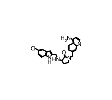 Nc1ccnc2cc(CN3CCC(NCc4cc5cc(Cl)ccc5[nH]4)C3=O)ccc12